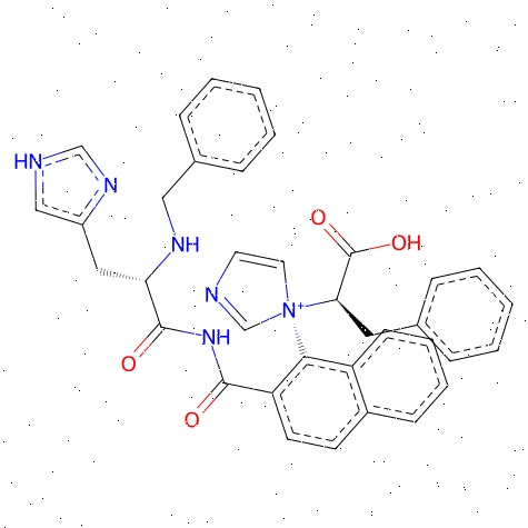 O=C(NC(=O)[C@H](Cc1c[nH]cn1)NCc1ccccc1)c1ccc2ccccc2c1[N@@+]1([C@H](Cc2ccccc2)C(=O)O)C=CN=C1